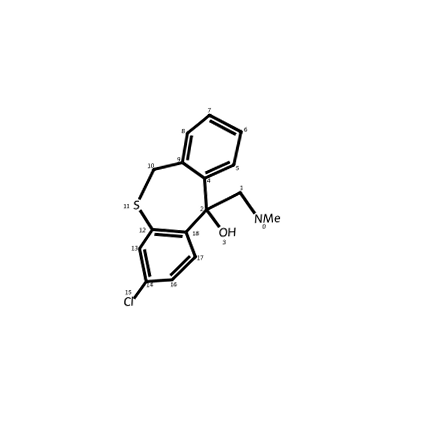 CNCC1(O)c2ccccc2CSc2cc(Cl)ccc21